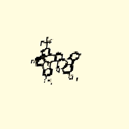 Cc1ccc2c(c1)c1ccccc1n2-c1ccc(-c2cc(C#N)cc(C(F)(F)F)c2)c(-n2c3ccccc3c3cc(C)ccc32)c1C#N